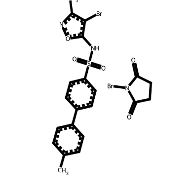 Cc1ccc(-c2ccc(S(=O)(=O)Nc3onc(C)c3Br)cc2)cc1.O=C1CCC(=O)N1Br